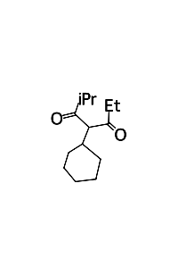 CCC(=O)C(C(=O)C(C)C)C1CCCCC1